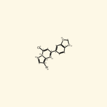 Clc1cc(-c2ccc3c(c2)OCO3)nc2c(Br)cnn12